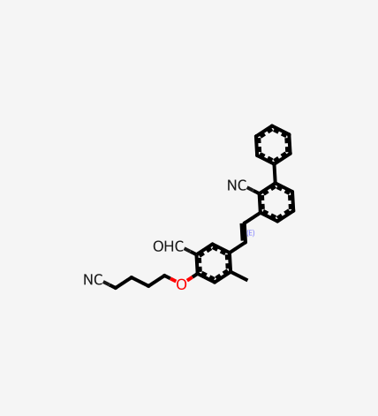 Cc1cc(OCCCCC#N)c(C=O)cc1/C=C/c1cccc(-c2ccccc2)c1C#N